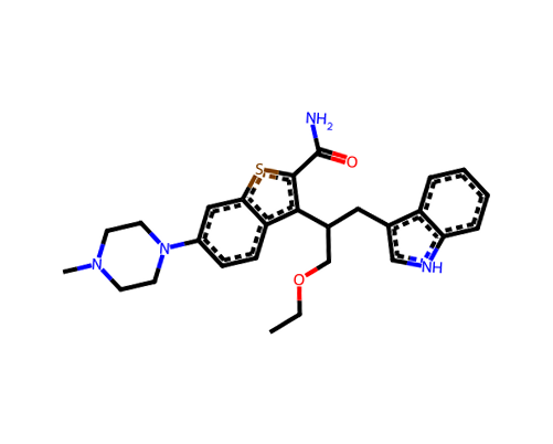 CCOCC(Cc1c[nH]c2ccccc12)c1c(C(N)=O)sc2cc(N3CCN(C)CC3)ccc12